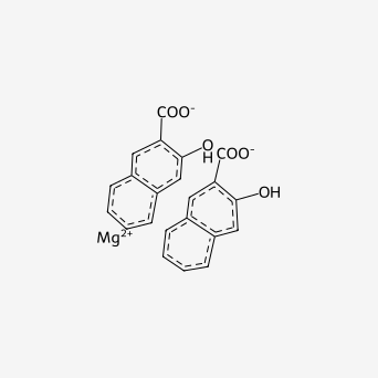 O=C([O-])c1cc2ccccc2cc1O.O=C([O-])c1cc2ccccc2cc1O.[Mg+2]